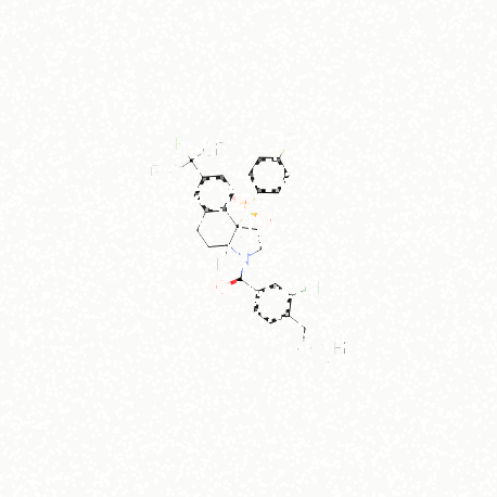 O=C(O)Cc1ccc(C(=O)N2CC[C@@]3(S(=O)(=O)c4ccc(F)cc4)c4ccc(C(F)(C(F)(F)F)C(F)(F)F)cc4CC[C@@H]23)cc1Cl